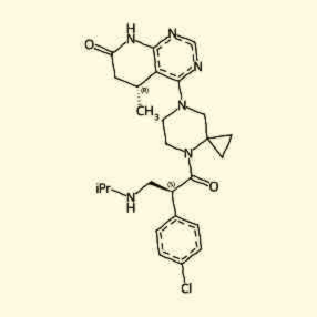 CC(C)NC[C@@H](C(=O)N1CCN(c2ncnc3c2[C@H](C)CC(=O)N3)CC12CC2)c1ccc(Cl)cc1